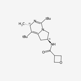 C[C@@H]1N=C(C(C)(C)C)N2C[C@@H](NC(=O)C3COC3)CC2=C1C(C)(C)C